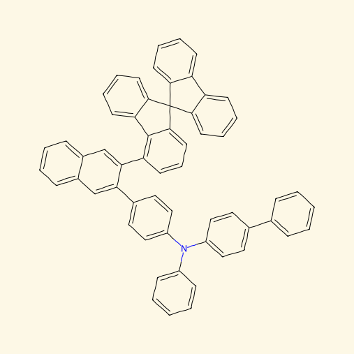 c1ccc(-c2ccc(N(c3ccccc3)c3ccc(-c4cc5ccccc5cc4-c4cccc5c4-c4ccccc4C54c5ccccc5-c5ccccc54)cc3)cc2)cc1